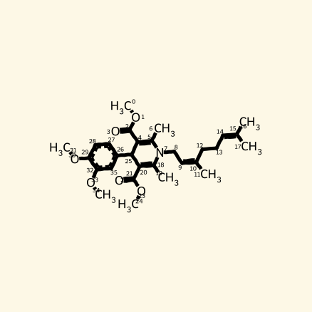 COC(=O)C1=C(C)N(CC=C(C)CCC=C(C)C)C(C)=C(C(=O)OC)C1c1ccc(OC)c(OC)c1